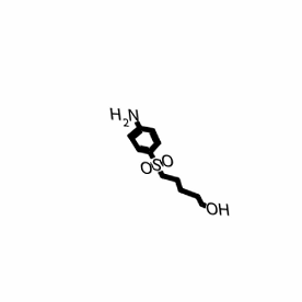 Nc1ccc(S(=O)(=O)CCCCCO)cc1